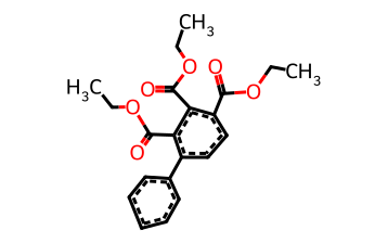 CCOC(=O)c1ccc(-c2ccccc2)c(C(=O)OCC)c1C(=O)OCC